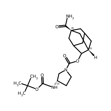 CC(C)(C)OC(=O)N[C@H]1CCN(C(=O)OC2C3CC4C[C@H]2C[C@@](C(N)=O)(C4)C3)C1